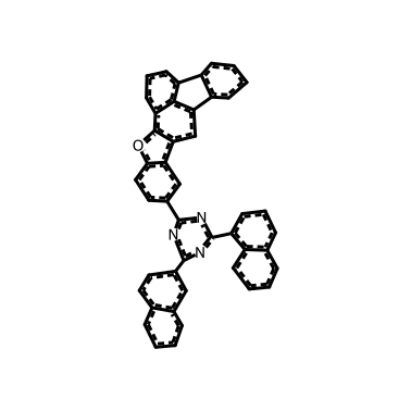 c1ccc2c(c1)-c1cccc3c1c-2cc1c2cc(-c4nc(-c5ccc6ccccc6c5)nc(-c5cccc6ccccc56)n4)ccc2oc31